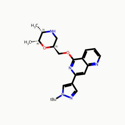 C[C@@H]1NC[C@@H](COc2nc(-c3cnn(C(C)(C)C)c3)cc3ncccc23)O[C@@H]1C